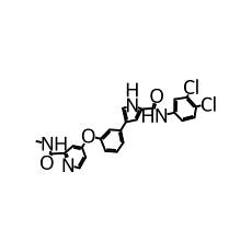 CNC(=O)c1cc(Oc2cccc(-c3c[nH]c(C(=O)Nc4ccc(Cl)c(Cl)c4)c3)c2)ccn1